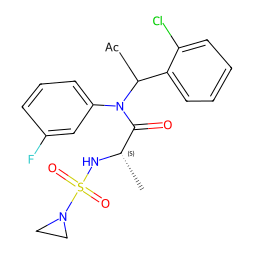 CC(=O)C(c1ccccc1Cl)N(C(=O)[C@H](C)NS(=O)(=O)N1CC1)c1cccc(F)c1